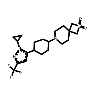 O=S1(=O)CC2(CCN(C3CCC(c4cc(C(F)(F)F)nn4C4CC4)CC3)CC2)C1